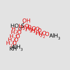 O.O.O.O.O.O.O.O.O.O.O.O.O=S(=O)(O)O.[AlH3].[AlH3].[KH]